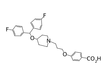 O=C(O)c1ccc(OCCCN2CCC(OC(c3ccc(F)cc3)c3ccc(F)cc3)CC2)cc1